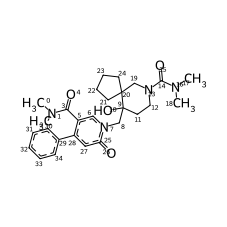 CN(C)C(=O)c1cn(CC2(O)CCN(C(=O)N(C)C)CC23CCCC3)c(=O)cc1-c1ccccc1